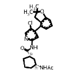 CC(=O)N[C@@H]1CCC[C@H](C(=O)Nc2cc(-c3cccc4c3CC(C)(C)O4)c(Cl)cn2)C1